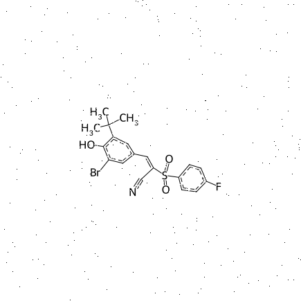 CC(C)(C)c1cc(/C=C(\C#N)S(=O)(=O)c2ccc(F)cc2)cc(Br)c1O